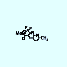 COC(=O)c1cc2ccc(C)nc2nc1C(F)(F)Cl